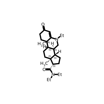 CCN(CC)C(=O)[C@H]1CC[C@H]2[C@@H]3CN(CC)C4=CC(=O)CC[C@]4(C)[C@H]3CC[C@]12C